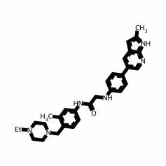 CCN1CCN(Cc2ccc(NC(=O)CNc3ccc(-c4cnc5[nH]c(C)cc5c4)cc3)cc2C)CC1